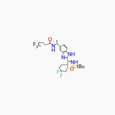 C[C@H](NC(=O)CCC(F)(F)F)c1ccc2[nH]c([C@@H](N[S@+]([O-])C(C)(C)C)C3CCC(F)(F)CC3)nc2c1